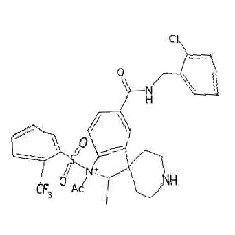 CC(=O)[N+]1(S(=O)(=O)c2ccccc2C(F)(F)F)c2ccc(C(=O)NCc3ccccc3Cl)cc2C2(CCNCC2)C1C